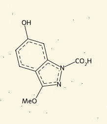 COc1nn(C(=O)O)c2cc(O)ccc12